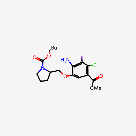 COC(=O)c1cc(OCC2CCCN2C(=O)OC(C)(C)C)c(N)c(I)c1Cl